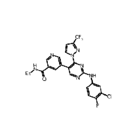 CCNC(=O)c1cncc(-c2cnc(Nc3ccc(F)c(Cl)c3)nc2-n2ccc(C(F)(F)F)n2)c1